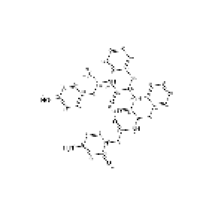 Nc1ccn(CC(=O)NC(Cc2ccccc2)C(=O)NC(Cc2ccccc2)C(=O)NC(Cc2ccc(O)cc2)C(=O)O)c(=O)n1